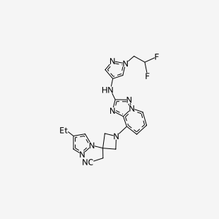 CCc1cnn(C2(CC#N)CN(c3cccn4nc(Nc5cnn(CC(F)F)c5)nc34)C2)c1